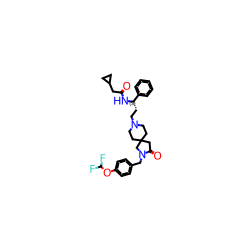 O=C(CC1CC1)N[C@@H](CCN1CCC2(CC1)CC(=O)N(Cc1ccc(OC(F)F)cc1)C2)c1ccccc1